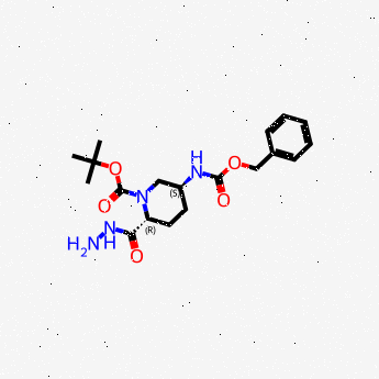 CC(C)(C)OC(=O)N1C[C@@H](NC(=O)OCc2ccccc2)CC[C@@H]1C(=O)NN